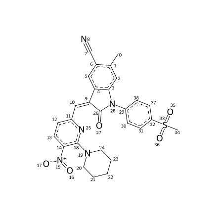 Cc1cc2c(cc1C#N)C(=Cc1ccc([N+](=O)[O-])c(N3CCCCC3)n1)C(=O)N2c1ccc(S(C)(=O)=O)cc1